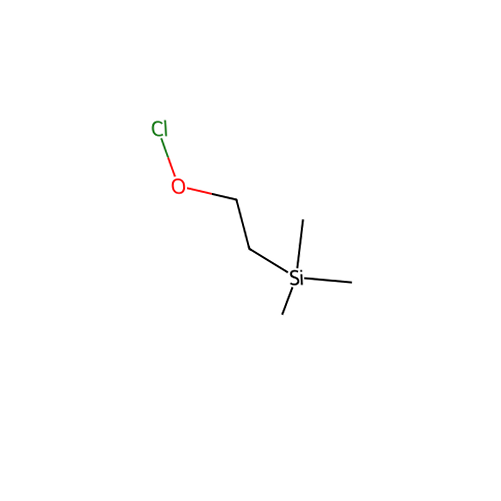 C[Si](C)(C)CCOCl